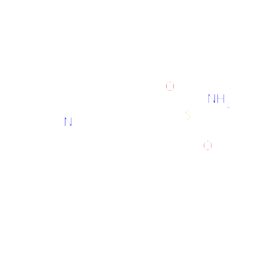 CCN1CCC[C@H]1/C=C/S(N)(=O)=O